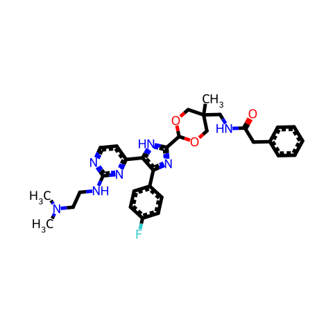 CN(C)CCNc1nccc(-c2[nH]c(C3OCC(C)(CNC(=O)Cc4ccccc4)CO3)nc2-c2ccc(F)cc2)n1